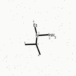 CC[N]([InH2])C(C)C